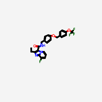 CCc1nc2c(F)cccn2c1C(=O)NCc1ccc(OCc2ccc(OC(F)(F)F)cc2)cc1